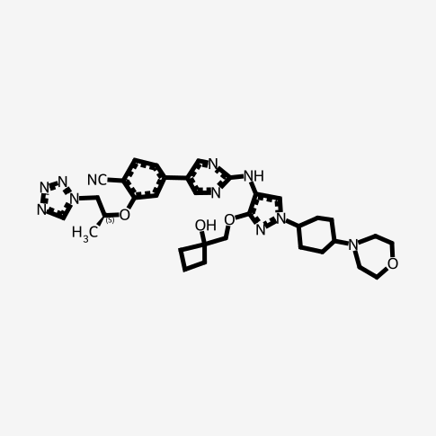 C[C@@H](Cn1cnnn1)Oc1cc(-c2cnc(Nc3cn(C4CCC(N5CCOCC5)CC4)nc3OCC3(O)CCC3)nc2)ccc1C#N